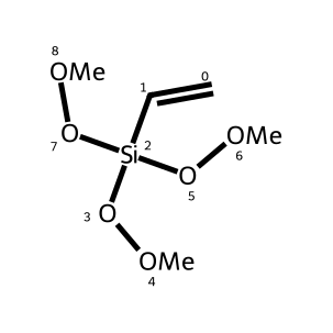 C=C[Si](OOC)(OOC)OOC